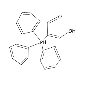 O=CC(=CO)[PH](c1ccccc1)(c1ccccc1)c1ccccc1